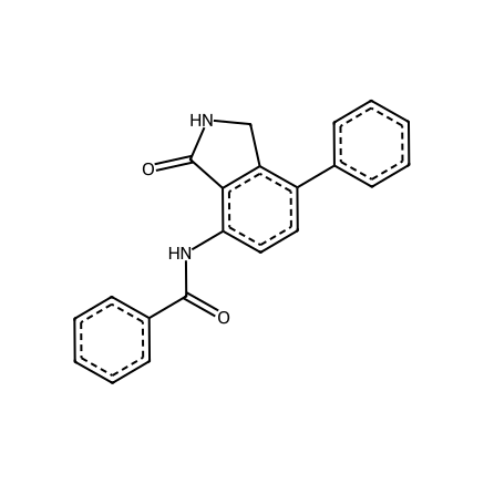 O=C(Nc1ccc(-c2ccccc2)c2c1C(=O)NC2)c1ccccc1